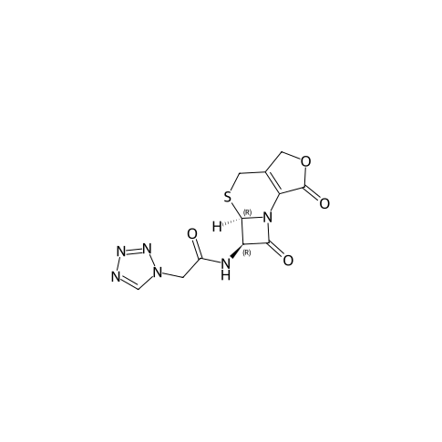 O=C(Cn1cnnn1)N[C@@H]1C(=O)N2C3=C(COC3=O)CS[C@H]12